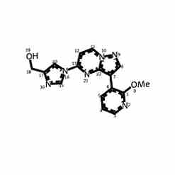 COc1ncccc1-c1cnn2ccc(-n3cnc(CO)c3)nc12